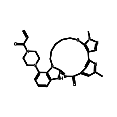 C=CC(=O)N1CCN(c2cccc3c2N2CCCCCOc4c(cnn4C)-c4cc(cc(C)n4)C(=O)/N=C/2N3)CC1